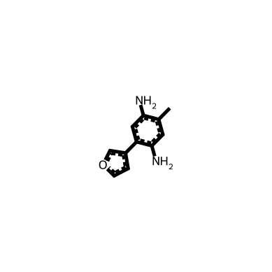 Cc1cc(N)c(-c2ccoc2)cc1N